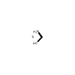 NCO.[Ti]